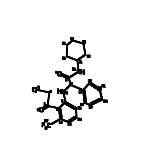 O=C(CCl)c1c(NC(C(=O)NC2CCCCC2)c2cccnc2)cccc1C(F)(F)F